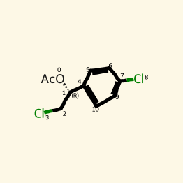 CC(=O)O[C@@H](CCl)c1ccc(Cl)cc1